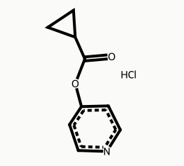 Cl.O=C(Oc1ccncc1)C1CC1